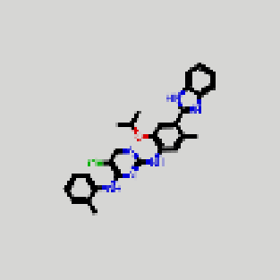 Cc1ccccc1Nc1nc(Nc2cc(C)c(-c3nc4ccccc4[nH]3)cc2OC(C)C)ncc1Cl